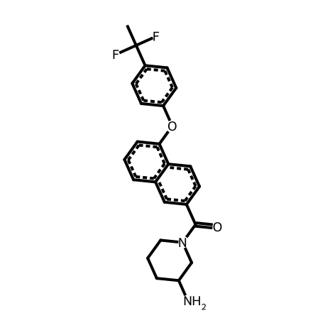 CC(F)(F)c1ccc(Oc2cccc3cc(C(=O)N4CCCC(N)C4)ccc23)cc1